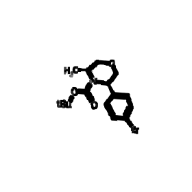 C[C@H]1COC[C@@H](c2ccc(Br)cc2)N1C(=O)OC(C)(C)C